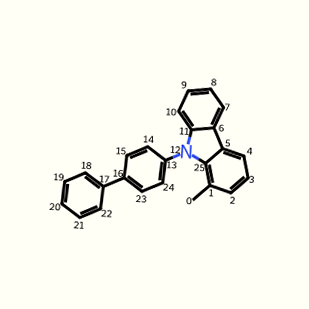 Cc1cccc2c3ccccc3n(-c3ccc(-c4ccccc4)cc3)c12